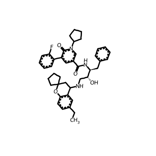 CCc1ccc2c(c1)C(NC[C@@H](O)[C@H](Cc1ccccc1)NC(=O)c1cc(-c3ccccc3F)c(=O)n(C3CCCC3)c1)CC1(CCCC1)O2